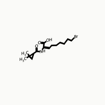 CC1(C)CC1C(=O)N/C(=C/CCCCCCBr)C(=O)O